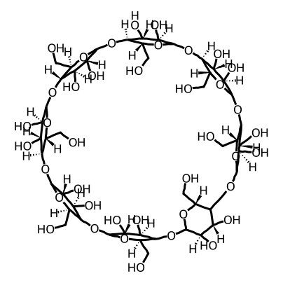 OC[C@H]1OC2OC3[C@@H](CO)OC(OC4[C@@H](CO)OC(OC5[C@@H](CO)OC(O[C@H]6[C@H](O)[C@@H](O)C(O[C@H]7[C@H](O)[C@@H](O)C(O[C@H]8[C@H](O)[C@@H](O)C(O[C@H]9[C@H](O)[C@@H](O)C(OC1[C@H](O)[C@H]2O)O[C@@H]9CO)O[C@@H]8CO)O[C@@H]7CO)O[C@@H]6CO)[C@H](O)[C@H]5O)[C@H](O)[C@H]4O)[C@H](O)[C@H]3O